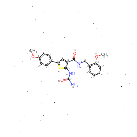 COc1ccc(-c2cc(C(=O)NCc3ccccc3OC)c(NC(N)=O)s2)cc1